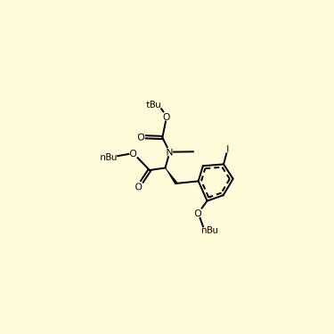 CCCCOC(=O)[C@H](Cc1cc(I)ccc1OCCCC)N(C)C(=O)OC(C)(C)C